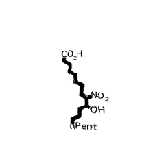 CCCCCC=CCC(O)C(CCCCCCCC(=O)O)[N+](=O)[O-]